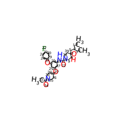 CCC(CC)CC1(O)CCN(C(=O)Nc2cc(Oc3ccc(F)cc3)cc(OC3CCN(C(C)=O)CC3)c2)CC1